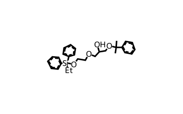 CC[Si](OCCOCC(O)COC(C)(C)c1ccccc1)(c1ccccc1)c1ccccc1